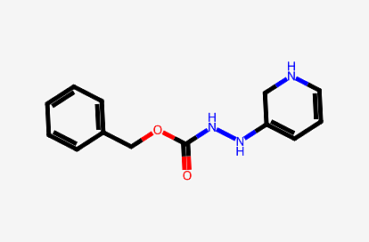 O=C(NNC1=CC=CNC1)OCc1ccccc1